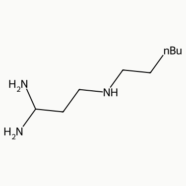 CCCCCCNCCC(N)N